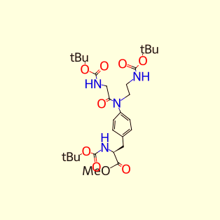 COC(=O)[C@H](Cc1ccc(N(CCNC(=O)OC(C)(C)C)C(=O)CNC(=O)OC(C)(C)C)cc1)NC(=O)OC(C)(C)C